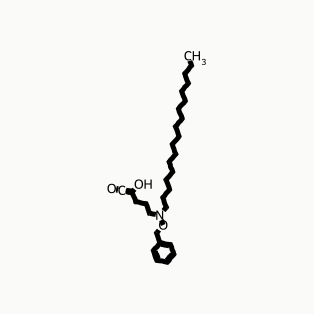 CCCCCCCCCCCCCCCCCCN(CCCC(O)=C=O)OCc1ccccc1